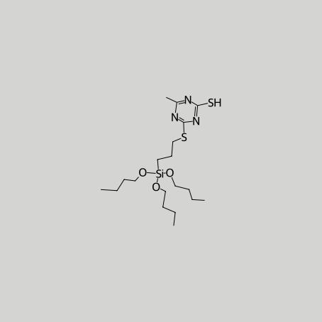 CCCCO[Si](CCCSc1nc(C)nc(S)n1)(OCCCC)OCCCC